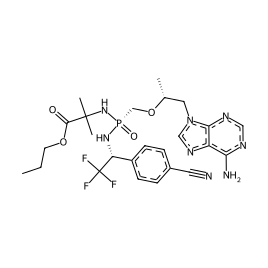 CCCOC(=O)C(C)(C)N[P@](=O)(CO[C@H](C)Cn1cnc2c(N)ncnc21)N[C@H](c1ccc(C#N)cc1)C(F)(F)F